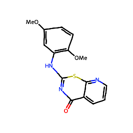 COc1ccc(OC)c(Nc2nc(=O)c3cccnc3s2)c1